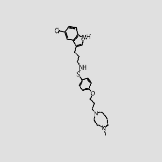 CN1CCCN(CCCOc2ccc(SNCCCc3c[nH]c4ccc(Cl)cc34)cc2)CC1